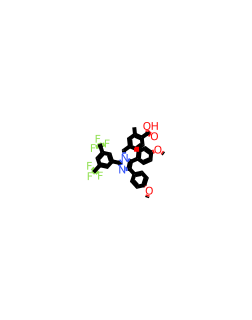 COc1ccc(-c2nc(-c3cc(C(F)(F)F)cc(C(F)(F)F)c3)n(Cc3ccc(C(=O)O)c(C)c3)c2-c2ccc(OC)cc2)cc1